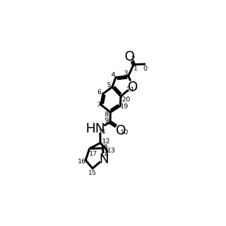 CC(=O)c1cc2ccc(C(=O)NC3CN4CCC3C4)cc2o1